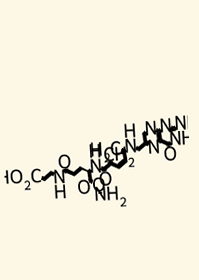 C=C(/C=C\C(=C)C(=O)N[C@H](CCC(=O)NCCC(=O)O)C(=O)ON)NCc1cnc2nc(N)[nH]c(=O)c2n1